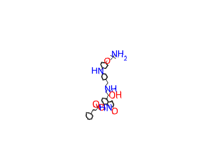 CC(C)(N)COc1ccc(Nc2ccc(CCNC[C@H](O)c3ccc(OC(=O)C=Cc4ccccc4)c4[nH]c(=O)ccc34)cc2)cc1